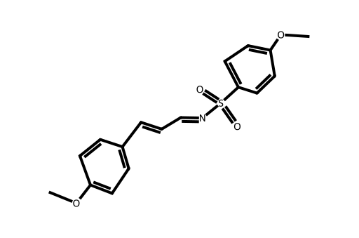 COc1ccc(C=CC=NS(=O)(=O)c2ccc(OC)cc2)cc1